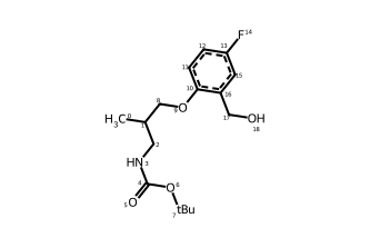 CC(CNC(=O)OC(C)(C)C)COc1ccc(F)cc1CO